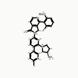 COc1cccc(F)c1-c1nccc2c1CN(c1ccc(-c3ccc(C)nc3)c(N3CC[C@@H](N)C3)n1)C2=O